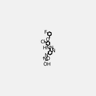 CN1/C(=N/c2ccc3ncnc(Nc4ccc(OCc5cccc(F)c5)c(Cl)c4)c3c2)OC[C@@H]1CO